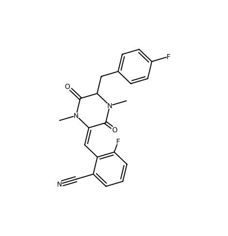 CN1C(=O)C(Cc2ccc(F)cc2)N(C)C(=O)/C1=C\c1c(F)cccc1C#N